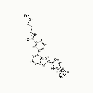 CCOCCCNC(=O)c1cccc(-c2cccc3c2SC(C(=O)N[C@H]2CN4CCC2CC4)C3)c1